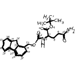 CC(C)(C)OC(=O)C(CCC(N)=O)NC(=O)OCc1cccc2c1Cc1ccccc1-2